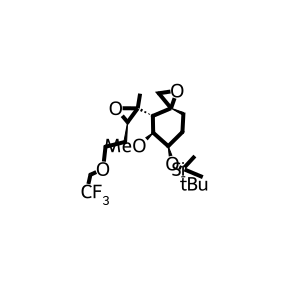 CO[C@H]1[C@H](C2(C)O[C@@H]2CCOCC(F)(F)F)[C@]2(CC[C@H]1O[Si](C)(C)C(C)(C)C)CO2